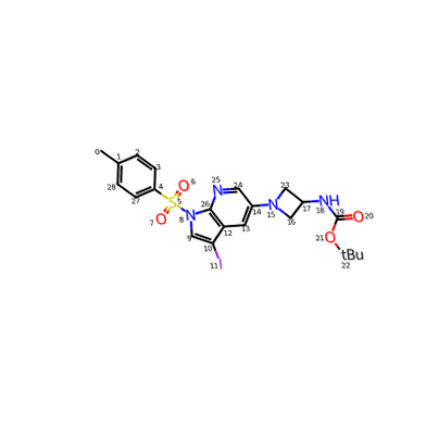 Cc1ccc(S(=O)(=O)n2cc(I)c3cc(N4CC(NC(=O)OC(C)(C)C)C4)cnc32)cc1